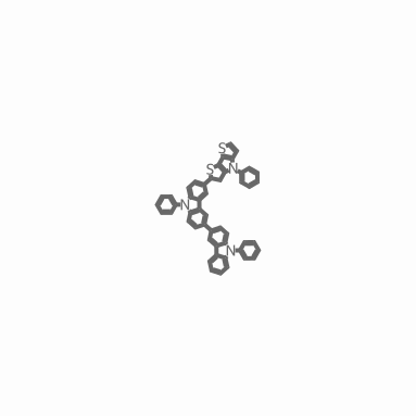 c1ccc(-n2c3c(c4sccc42)SC(c2ccc4c(c2)c2cc(-c5ccc6c(c5)c5ccccc5n6-c5ccccc5)ccc2n4-c2ccccc2)C3)cc1